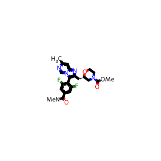 CNC(=O)c1cc(F)c(-c2c(C[C@H]3CN(C(=O)OC)CCO3)nc3cc(C)ncn23)c(F)c1